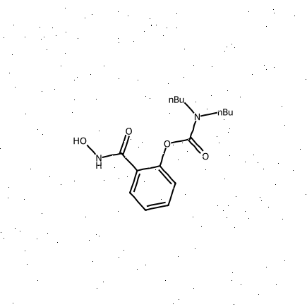 CCCCN(CCCC)C(=O)Oc1ccccc1C(=O)NO